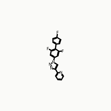 Fc1ccc(-c2c(F)cc(-n3cc(-c4ccccn4)nn3)cc2F)cc1